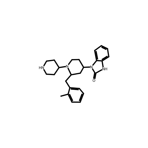 Cc1ccccc1CC1CC(n2c(=O)[nH]c3ccccc32)CCN1C1CCNCC1